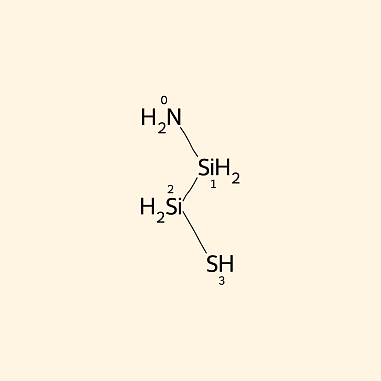 N[SiH2][SiH2]S